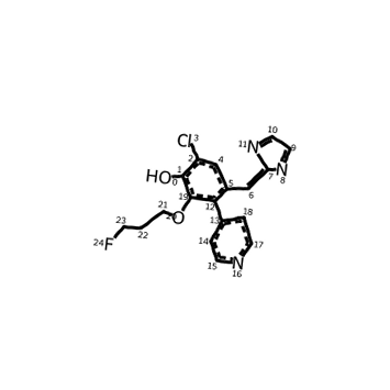 Oc1c(Cl)cc(C=C2N=CC=N2)c(-c2ccncc2)c1OCCCF